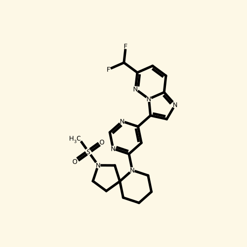 CS(=O)(=O)N1CCC2(CCCCN2c2cc(-c3cnc4ccc(C(F)F)nn34)ncn2)C1